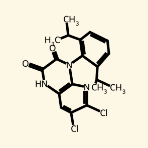 CC(C)c1cccc(C(C)C)c1-n1c(=O)c(=O)[nH]c2cc(Cl)c(Cl)nc21